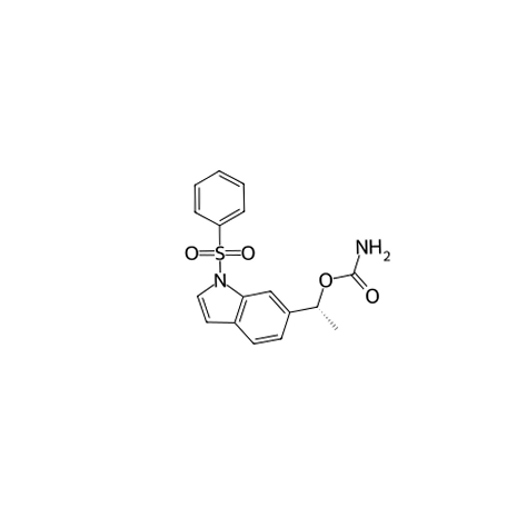 C[C@@H](OC(N)=O)c1ccc2ccn(S(=O)(=O)c3ccccc3)c2c1